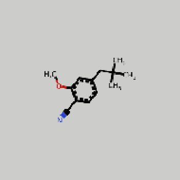 COc1cc(CC(C)(C)C)ccc1C#N